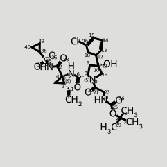 C=C[C@@H]1C[C@]1(NC(=O)[C@@H]1C[C@@](O)(C2C=CC=C(Cl)C2)CN1C(=O)CNC(=O)OC(C)(C)C)C(=O)NS(=O)(=O)C1CC1